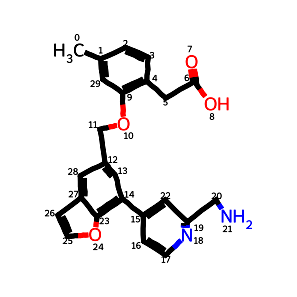 Cc1ccc(CC(=O)O)c(OCc2cc(-c3ccnc(CN)c3)c3occc3c2)c1